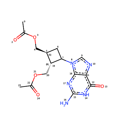 CC(=O)OC[C@H]1CC(n2cnc3c(=O)[nH]c(N)nc32)[C@@H]1COC(C)=O